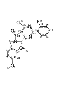 COc1ccc(CN2Cc3nc(-c4ccccc4F)nc(Cl)c3C2=O)c(OC)c1